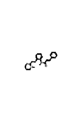 CN(C(=O)C=Cc1ccccc1)c1ccccc1CCC1CCCCN1C